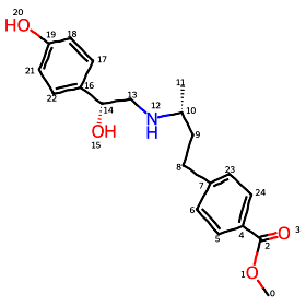 COC(=O)c1ccc(CC[C@@H](C)NC[C@H](O)c2ccc(O)cc2)cc1